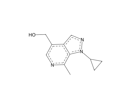 Cc1ncc(CO)c2cnn(C3CC3)c12